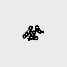 CC(C)c1ccc2c(c1)C1(C)CCCCC1(C)N2c1cc2c3c(c1)N1c4c(cc(C(C)C)cc4C4(C)CCCCC14C)B3c1c(oc3cc4ccccc4cc13)N2c1ccccc1